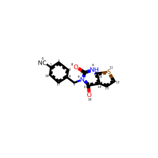 N#Cc1ccc(Cn2c(=O)[nH]c3sccc3c2=O)cc1